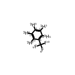 [2H]c1c([2H])c([2H])c(C(F)(F)F)c([2H])c1[2H]